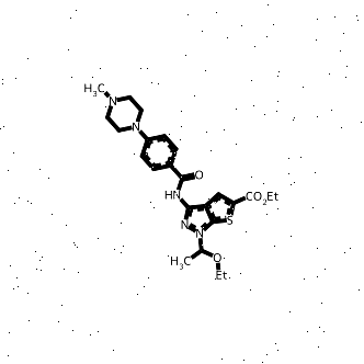 CCOC(=O)c1cc2c(NC(=O)c3ccc(N4CCN(C)CC4)cc3)nn(C(C)OCC)c2s1